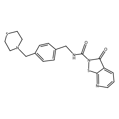 O=C(NCc1ccc(CN2CCSCC2)cc1)n1sc2ncccc2c1=O